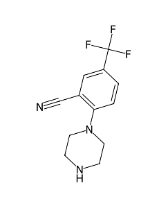 N#Cc1cc(C(F)(F)F)ccc1N1CCNCC1